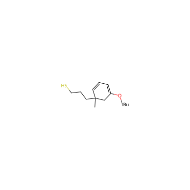 CC1(CCCS)C=CC=C(OC(C)(C)C)C1